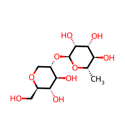 C[C@@H]1O[C@@H](O[C@H]2CO[C@H](CO)[C@@H](O)[C@@H]2O)[C@H](O)[C@H](O)[C@H]1O